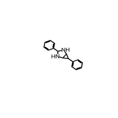 c1ccc(C2NC3C(N2)C3c2ccccc2)cc1